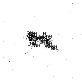 CSCC[C@H](NC(=O)[C@H](CO)NC(=O)[C@H](CO)NC(=O)[C@H](CC(C)C)NC(=O)[C@H](CCC(=O)O)NC(=O)[C@@H]1CCCN1C(=O)[C@H](CCCNC(=N)N)NC(=O)[C@H](CCSC)NC(=O)[C@H](CC(N)=O)NC(=O)[C@H](CO)NC(=O)[C@@H](N)CO)C(=O)N[C@@H](CCCNC(=N)N)C(N)=O